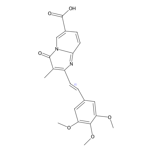 COc1cc(/C=C/c2nc3ccc(C(=O)O)cn3c(=O)c2C)cc(OC)c1OC